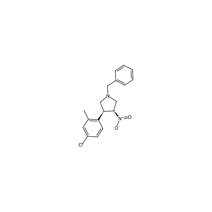 Cc1cc(Cl)ccc1[C@H]1CN(Cc2ccccc2)C[C@H]1[N+](=O)[O-]